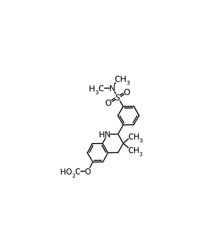 CN(C)S(=O)(=O)c1cccc(C2Nc3ccc(OC(=O)O)cc3CC2(C)C)c1